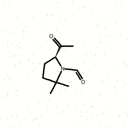 CC(=O)[C@@H]1CCC(C)(C)N1C=O